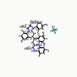 CCCCC(Nc1c(C)cc(C)cc1C)C(CCCCC1=[N+](c2c(C)cc(C)cc2C)[C@H](CCCC)[C@@H](CCCC)N1c1c(C)cc(C)cc1C)Nc1c(C)cc(C)cc1C.F[B-](F)(F)F